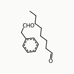 CCCCCCCC=O.O=CCc1ccccc1